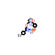 CCC1CC=C(c2cc3nc(n2)NS(=O)(=O)c2cccc(c2)C(=O)N[C@H](CC(C)C)CO3)CC1